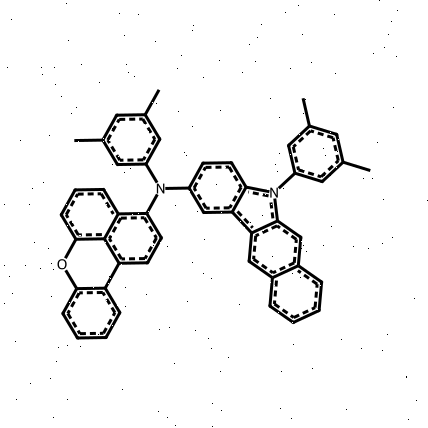 Cc1cc(C)cc(N(c2ccc3c(c2)c2cc4ccccc4cc2n3-c2cc(C)cc(C)c2)c2ccc3c4c(cccc24)Oc2ccccc2-3)c1